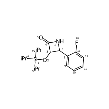 CC(C)[Si](OC1C(=O)NC1c1ccccc1F)(C(C)C)C(C)C